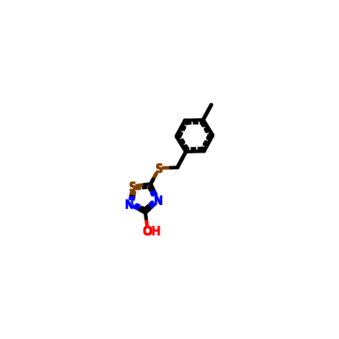 Cc1ccc(CSc2nc(O)ns2)cc1